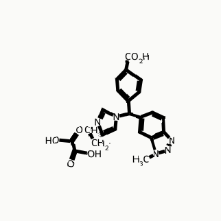 Cn1nnc2ccc(C(c3ccc(C(=O)O)cc3)n3ccnc3)cc21.O=C(O)C(=O)O.[CH2]C